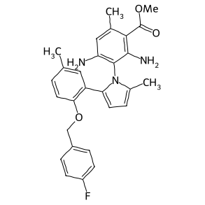 COC(=O)c1c(C)cc(N)c(-n2c(C)ccc2-c2cc(C)ccc2OCc2ccc(F)cc2)c1N